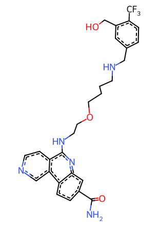 NC(=O)c1ccc2c(c1)nc(NCCOCCCCNCc1ccc(C(F)(F)F)c(CO)c1)c1ccncc12